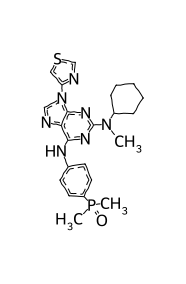 CN(c1nc(Nc2ccc(P(C)(C)=O)cc2)c2ncn(-c3cscn3)c2n1)C1CCCCC1